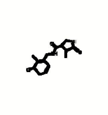 CC1=C(CNC(=O)C2CNC(=O)N2C)C=CCC1Cl